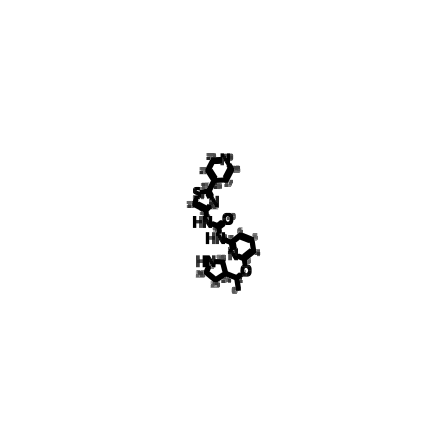 CC(Oc1cccc(NC(=O)Nc2csc(-c3ccncc3)n2)n1)C1CCNC1